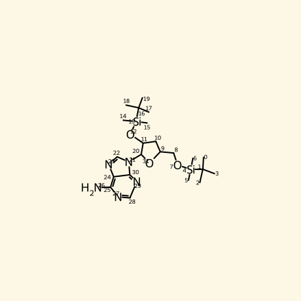 CC(C)(C)[Si](C)(C)OCC1CC(O[Si](C)(C)C(C)(C)C)C(n2cnc3c(N)ncnc32)O1